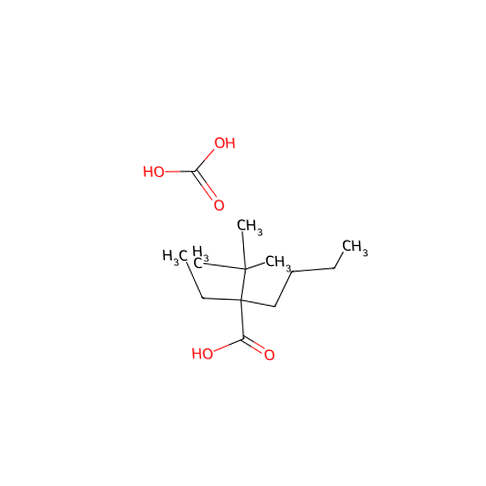 CCCCC(CC)(C(=O)O)C(C)(C)C.O=C(O)O